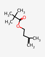 C=C(C)CCOC(=O)C(C)(C)C